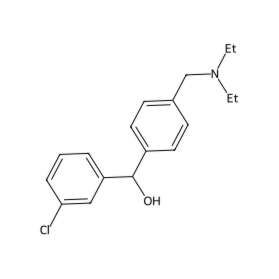 CCN(CC)Cc1ccc(C(O)c2cccc(Cl)c2)cc1